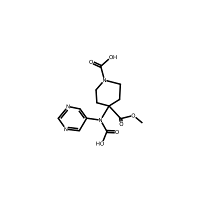 COC(=O)C1(N(C(=O)O)c2cncnc2)CCN(C(=O)O)CC1